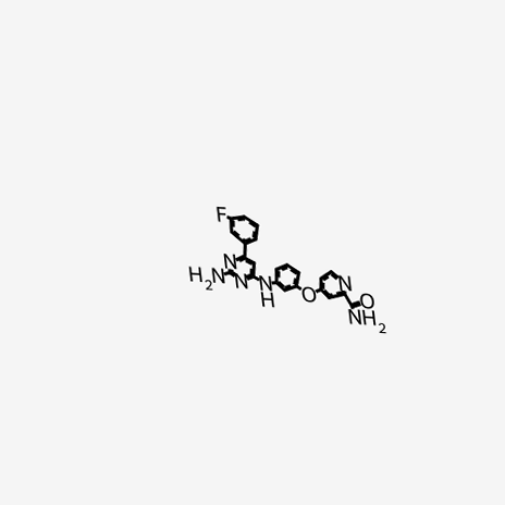 NC(=O)c1cc(Oc2cccc(Nc3cc(-c4cccc(F)c4)nc(N)n3)c2)ccn1